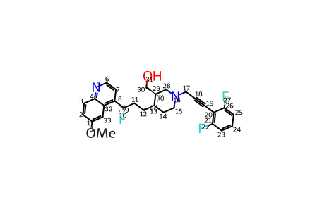 COc1ccc2nccc([C@@H](F)CC[C@@H]3CCN(CC#Cc4c(F)cccc4F)C[C@@H]3CO)c2c1